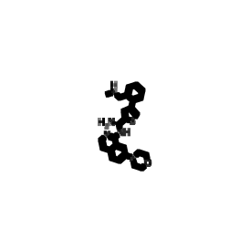 CNCc1ccccc1-c1csc([C@@H](N)Nc2nccc3ccc(N4CCOCC4)cc23)c1